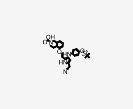 CC(C)(C)[Si](C)(C)Oc1ccc(Nc2cc(CC#N)[nH]c2CCOc2cccc3c2CCN(C(=O)O)C3)cc1